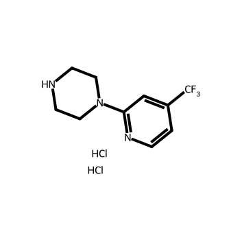 Cl.Cl.FC(F)(F)c1ccnc(N2CCNCC2)c1